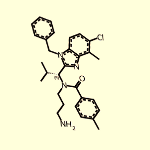 Cc1ccc(C(=O)N(CCCN)[C@@H](c2nc3c(C)c(Cl)ccc3n2Cc2ccccc2)C(C)C)cc1